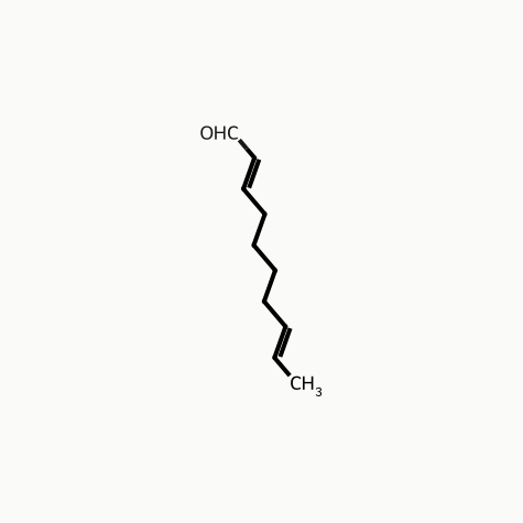 CC=CCCCCC=CC=O